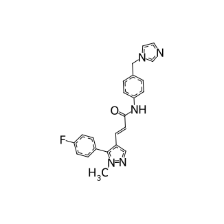 Cn1ncc(C=CC(=O)Nc2ccc(Cn3ccnc3)cc2)c1-c1ccc(F)cc1